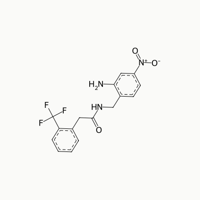 Nc1cc([N+](=O)[O-])ccc1CNC(=O)Cc1ccccc1C(F)(F)F